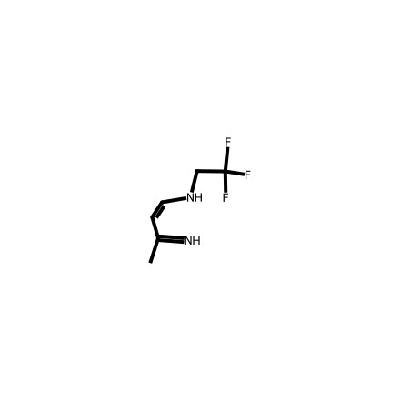 CC(=N)/C=C\NCC(F)(F)F